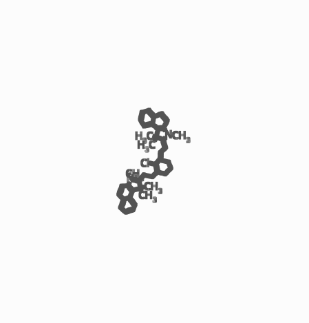 CN1/C(=C/C=C2\CCCC(CCC3=[N+](C)c4ccc5ccccc5c4C3(C)C)=C2Cl)C(C)(C)c2c1ccc1ccccc21